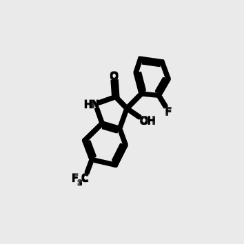 O=C1Nc2cc(C(F)(F)F)ccc2C1(O)c1ccccc1F